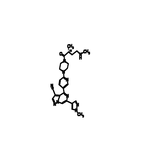 CNCC[C@@H](C)C(=O)N1CCN(c2ccc(-c3nc(-c4cnn(C)c4)cn4ncc(C#N)c34)cn2)CC1